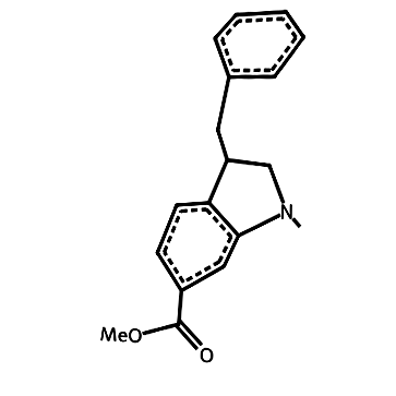 COC(=O)c1ccc2c(c1)N(C)CC2Cc1ccccc1